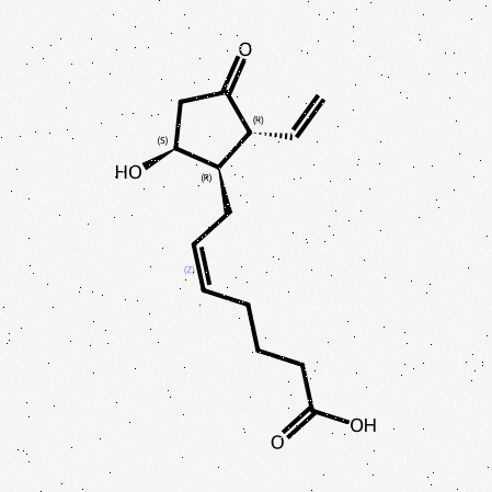 C=C[C@H]1C(=O)C[C@H](O)[C@@H]1C/C=C\CCCC(=O)O